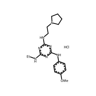 CCNc1nc(NCCN2CCCC2)nc(Nc2ccc(OC)cc2)n1.Cl